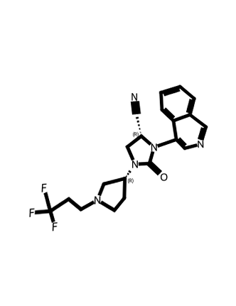 N#C[C@H]1CN([C@@H]2CCN(CCC(F)(F)F)C2)C(=O)N1c1cncc2ccccc12